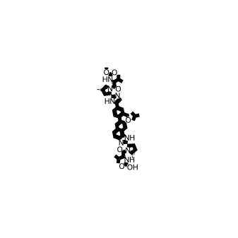 COC(=O)N[C@H](C(=O)N1C[C@@H](C)C[C@H]1c1ncc(-c2ccc3c(c2)COc2cc4c(ccc5nc([C@@H]6CC[C@H](C)N6C(=O)[C@@H](NC(=O)O)C(C)C)[nH]c54)cc2-3)[nH]1)C(C)C.C[C](C)C